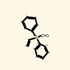 C=C[Si](C=O)(c1ccccc1)c1ccccc1